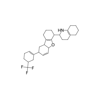 FC(F)(F)C1CCC=C(C2C=CC3OC4=C(CCCC4C4CCC5=C(CCCC5)N4)C3C2)C1